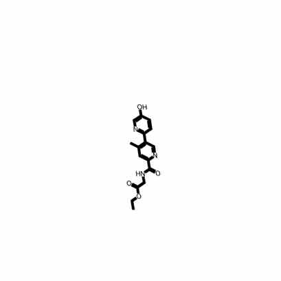 CCOC(=O)CNC(=O)c1cc(C)c(-c2ccc(O)cn2)cn1